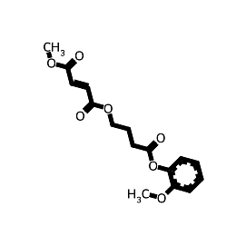 COC(=O)/C=C/C(=O)OCCCC(=O)Oc1ccccc1OC